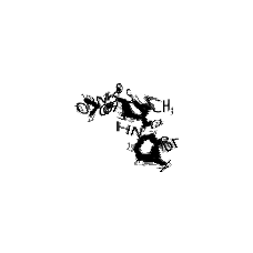 Cc1sc(S(=O)(=O)NC2(C)COC2)cc1C(=O)Nc1ccc(F)c(Br)c1